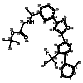 Cc1ccccc1-c1ccc(-c2nc(-c3cccc(C(C)NCC(=O)OC(C)(C)C)c3)no2)cc1C(F)(F)F